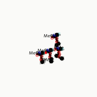 COC(=O)c1cc(OCC(=O)c2ccccc2OCc2ccccc2)c2cc(F)ccc2n1.COC(=O)c1cc(OCCOc2ccc3ccccc3c2)c2cc(F)ccc2n1.COC(=O)c1cc(OCCOc2cccc3ccccc23)c2cc(F)ccc2n1.COC(=O)c1cc(OCCOc2ccccc2OC)c2cc(F)ccc2n1